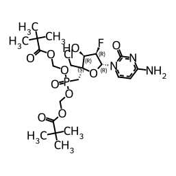 CC(C)(C)C(=O)OCOP(=O)(C[C@@]1(CCl)O[C@@H](n2ccc(N)nc2=O)[C@H](F)[C@@H]1O)OCOC(=O)C(C)(C)C